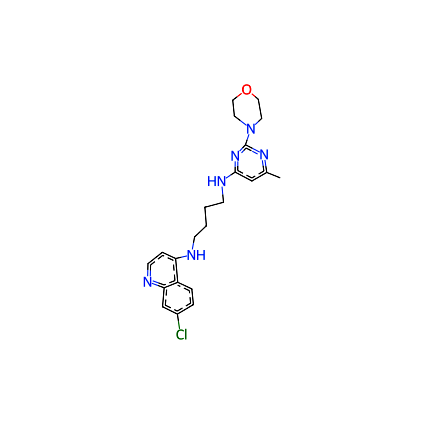 Cc1cc(NCCCCNc2ccnc3cc(Cl)ccc23)nc(N2CCOCC2)n1